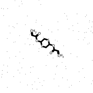 C=CC(=O)OC1CSC(OC(=O)C=C)CS1